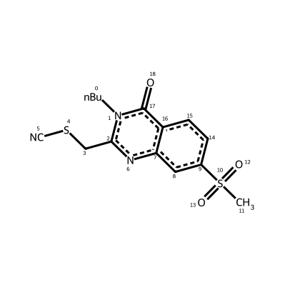 CCCCn1c(CSC#N)nc2cc(S(C)(=O)=O)ccc2c1=O